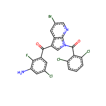 Nc1cc(Cl)cc(C(=O)c2cn(C(=O)c3c(Cl)cccc3Cl)c3ncc(Br)cc23)c1F